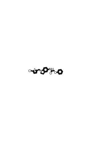 O=C(COc1ccccc1)Nc1ccc2c(c1)CCN2Cc1ccc(Cl)s1